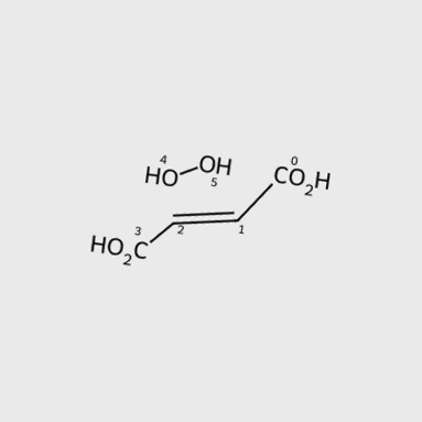 O=C(O)C=CC(=O)O.OO